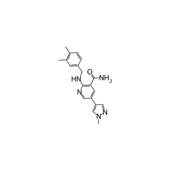 Cc1ccc(CNc2ncc(-c3cnn(C)c3)cc2C(N)=O)cc1C